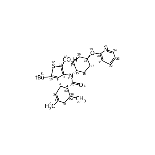 CC1=CC[C@H](C(=O)N(c2cc(C(C)(C)C)sc2C(=O)O)[C@H]2CC[C@H](Oc3ccccn3)CC2)[C@@H](C)C1